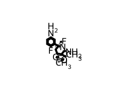 CCC1(S(C)(=O)=O)CC[C@@](CF)(c2cc(N)ccc2F)N=C1N